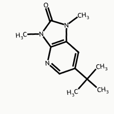 Cn1c(=O)n(C)c2ncc(C(C)(C)C)cc21